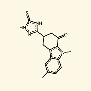 Cn1c2c(c3cc(I)ccc31)CC(c1n[nH]c(=S)[nH]1)CC2=O